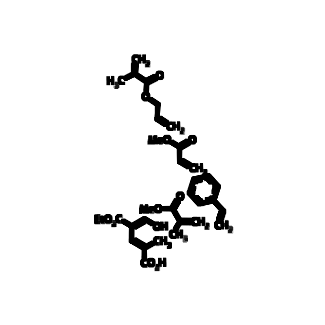 C=C(C)C(=O)OC.C=CC(=O)OC.C=CCOC(=O)C(=C)C.C=Cc1ccccc1.CCOC(=O)C(C=C(C)C(=O)O)=CO